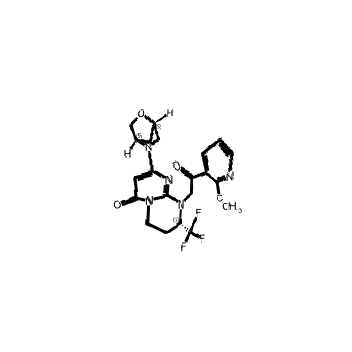 COc1ncccc1C(=O)CN1c2nc(N3C[C@@H]4C[C@H]3CO4)cc(=O)n2CC[C@H]1C(F)(F)F